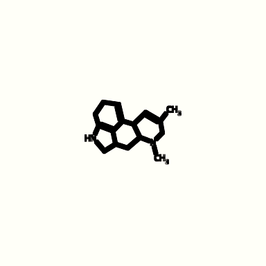 CC1=CC2C3=CCCC4=C3C(CN4)CC2N(C)C1